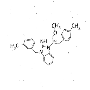 COC[C@H](Cc1ccc(C)cc1)n1c(=N)n(Cc2cccc(C)c2)c2ccccc21